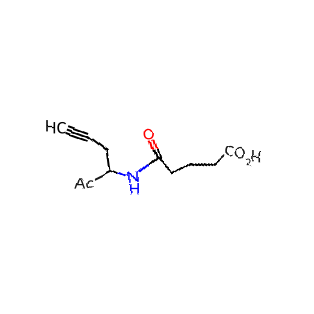 C#CCC(NC(=O)CCCC(=O)O)C(C)=O